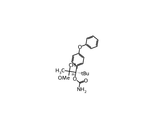 COC(C)(C)[C@](OC(N)=O)(c1ccc(Oc2ccccc2)cc1)C(C)(C)C